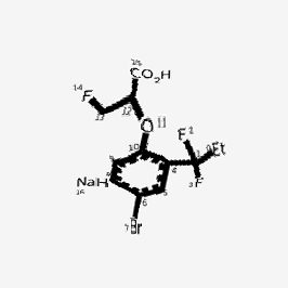 CCC(F)(F)c1cc(Br)ccc1OC(CF)C(=O)O.[NaH]